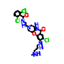 CNCCCNc1cc2c(cc1Cl)C(=O)NC1(CCN(CCNC(=O)c3c(Cl)cccc3Cl)CC1)O2